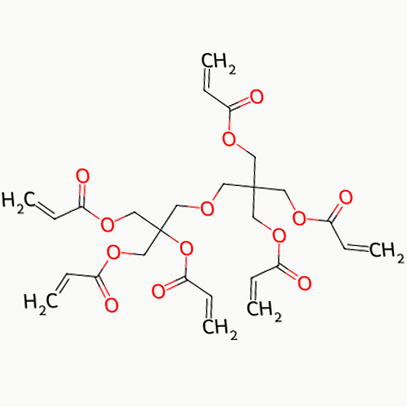 C=CC(=O)OCC(COCC(COC(=O)C=C)(COC(=O)C=C)OC(=O)C=C)(COC(=O)C=C)COC(=O)C=C